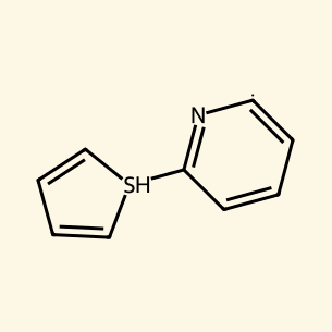 [c]1cccc([SH]2C=CC=C2)n1